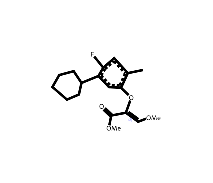 CO/C=C(\Oc1cc(C2CCCCC2)c(F)cc1C)C(=O)OC